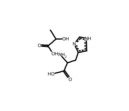 CC(O)C(=O)O.NC(Cc1c[nH]cn1)C(=O)O